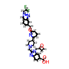 O=C(O)c1ccc2nc(CN3CCC(c4cccc(OCc5ccc6cn(CC(F)F)nc6c5)n4)CC3)n(C[C@@H]3CCO3)c2c1